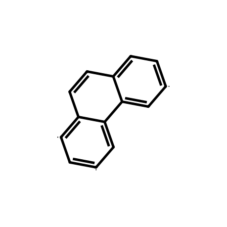 [c]1c[c]c2ccc3cc[c]cc3c2c1